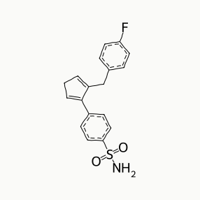 NS(=O)(=O)c1ccc(C2=CCC=C2Cc2ccc(F)cc2)cc1